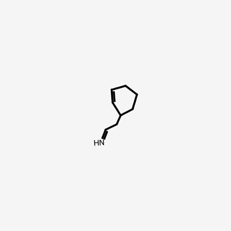 N=CCC1C=CCCC1